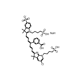 CC1(C)C(=CC=CC(=CC=CC2=[N+](CCCCS(=O)(=O)O)c3ccc(S(=O)(=O)[O-])cc3C2(C)C)c2cccc(C(=O)O)c2)N=C2C1=CC(Cl)=CN2CCCCS(=O)(=O)O.[NaH]